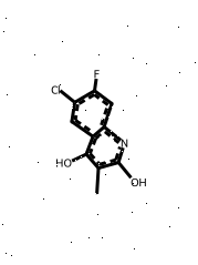 Cc1c(O)nc2cc(F)c(Cl)cc2c1O